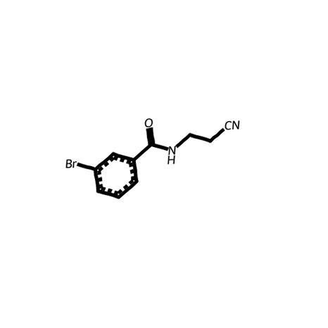 N#CCCNC(=O)c1cccc(Br)c1